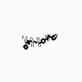 O=C(NCCNC(=O)C1CCC(c2nnc(-c3cccnc3)o2)CC1)c1cn(-c2ccccc2)nc1C(F)(F)F